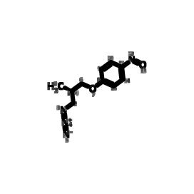 C[C@H](CN=[N+]=[N-])COc1ccc(N=O)cc1